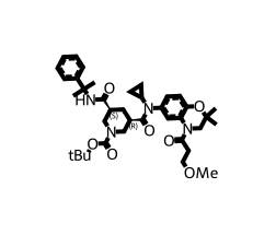 COCCC(=O)N1CC(C)(C)Oc2ccc(N(C(=O)[C@@H]3C[C@H](C(=O)NC(C)(C)c4ccccc4)CN(C(=O)OC(C)(C)C)C3)C3CC3)cc21